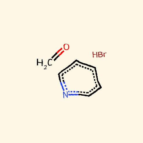 Br.C=O.c1ccncc1